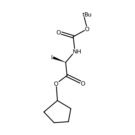 CC(C)(C)OC(=O)N[C@H](I)C(=O)OC1CCCC1